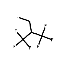 [CH2]CC(C(F)(F)F)C(F)(F)F